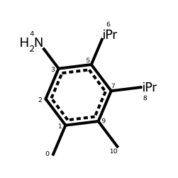 Cc1cc(N)c(C(C)C)c(C(C)C)c1C